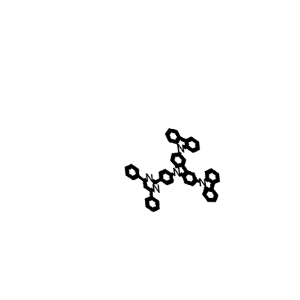 c1ccc(-c2cc(-c3ccccc3)nc(-c3ccc(-n4c5ccc(-n6c7ccccc7c7ccccc76)cc5c5cc(-n6c7ccccc7c7ccccc76)ccc54)cc3)n2)cc1